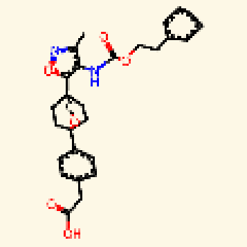 Cc1noc(C23CCC(c4ccc(CC(=O)O)cc4)(CC2)OC3)c1NC(=O)OCCc1ccccc1